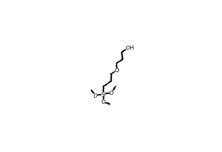 CO[Si](CCCOCCCO)(OC)OC